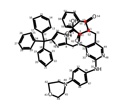 CCC(C(=O)O)N(Cc1nc(C(c2ccccc2)(c2ccccc2)c2ccccc2)c[nH]1)c1nc(Nc2ccc(N3CCOCC3)cc2)ncc1CN1C(=O)c2ccccc2C1=O